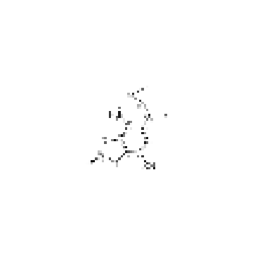 C[C@@H]1Cc2c(C#N)cc([C@@H](C)C3CC3)c(N)c2C1